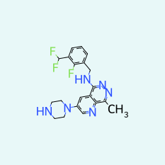 Cc1nnc(NCc2cccc(C(F)F)c2F)c2cc(N3CCNCC3)cnc12